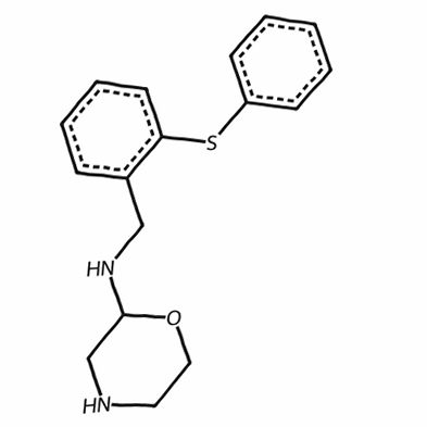 c1ccc(Sc2ccccc2CNC2CNCCO2)cc1